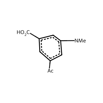 CNc1cc(C(C)=O)cc(C(=O)O)c1